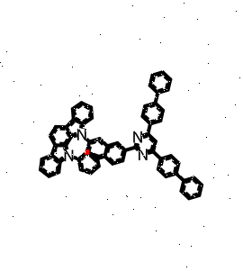 c1ccc(-c2ccc(-c3cc(-c4ccc(-c5ccccc5)cc4)nc(-c4ccc5ccc(-n6c7ccccc7c7ccc8c9ccccc9n(-c9ccccc9)c8c76)cc5c4)n3)cc2)cc1